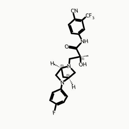 C[C@](O)(CN1C[C@@H]2C[C@H]1CN2c1ccc(F)cc1)C(=O)Nc1ccc(C#N)c(C(F)(F)F)c1